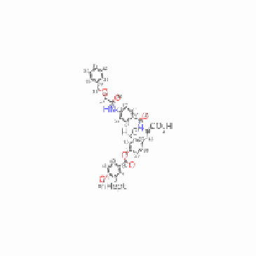 CCCCCCCOc1ccc(C(=O)Oc2ccc(C[C@@H](C(=O)O)N(C)C(=O)c3ccc(NC(=O)COCc4ccccc4)cc3)cc2)cc1